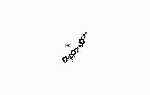 Cl.O=C1OC2(CCC(CNc3nc4ccc(OC(F)(F)F)cc4s3)CC2)CN1c1cccnn1